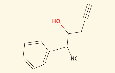 [C-]#[N+]C(c1ccccc1)C(O)CC#C